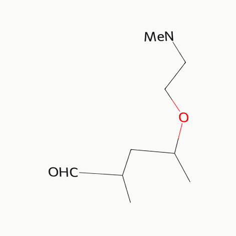 CNCCOC(C)CC(C)C=O